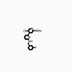 CNc1cc(-c2cccc(NCc3cccc(F)c3)n2)c(Cl)cn1